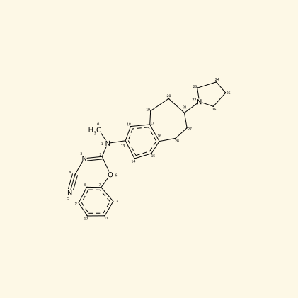 CN(/C(=N/C#N)Oc1ccccc1)c1ccc2c(c1)CCC(N1CCCC1)CC2